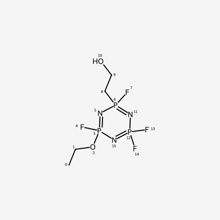 CCOP1(F)=NP(F)(CCO)=NP(F)(F)=N1